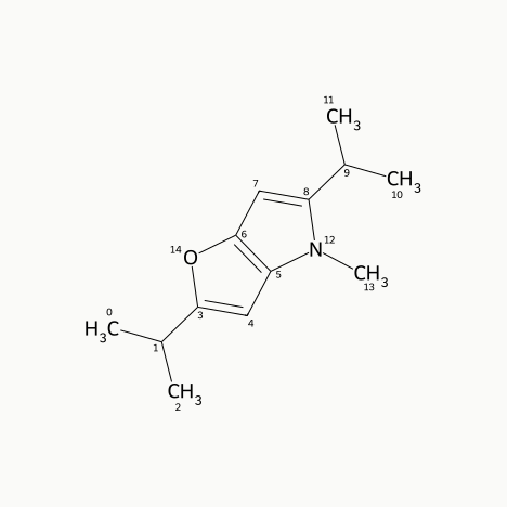 CC(C)c1cc2c(cc(C(C)C)n2C)o1